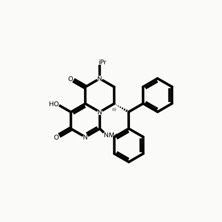 CNc1nc(=O)c(O)c2n1[C@@H](C(c1ccccc1)c1ccccc1)CN(C(C)C)C2=O